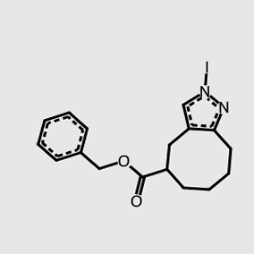 O=C(OCc1ccccc1)C1CCCCc2nn(I)cc2C1